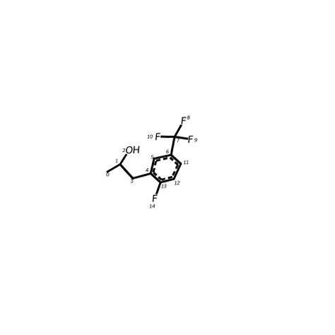 CC(O)Cc1cc(C(F)(F)F)ccc1F